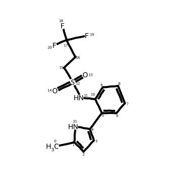 Cc1ccc(-c2ccccc2NS(=O)(=O)CCC(F)(F)F)[nH]1